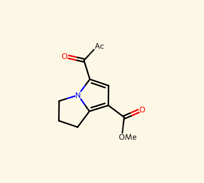 COC(=O)c1cc(C(=O)C(C)=O)n2c1CCC2